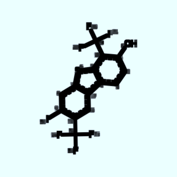 Oc1ccc2c(sc3cc(I)c(C(F)(F)F)cc32)c1C(F)(F)F